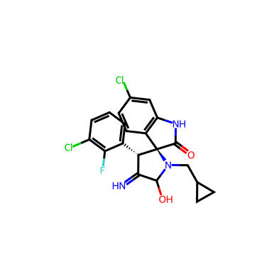 N=C1C(O)N(CC2CC2)[C@@]2(C(=O)Nc3cc(Cl)ccc32)[C@H]1c1cccc(Cl)c1F